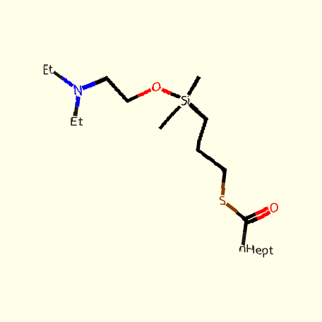 CCCCCCCC(=O)SCCC[Si](C)(C)OCCN(CC)CC